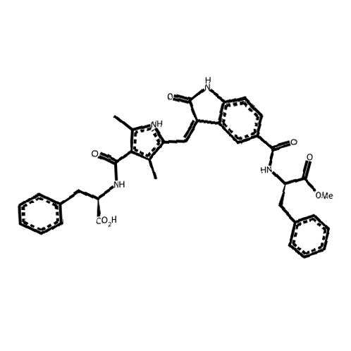 COC(=O)[C@@H](Cc1ccccc1)NC(=O)c1ccc2c(c1)C(=Cc1[nH]c(C)c(C(=O)N[C@H](Cc3ccccc3)C(=O)O)c1C)C(=O)N2